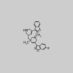 CN1CC(c2noc3cc(F)ccc23)=CC(C)(CC2C=C(c3nsc4ccccc34)CNC2)C1